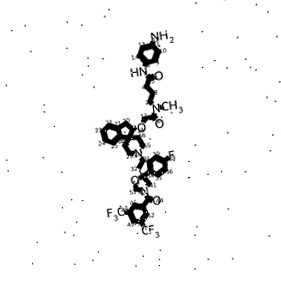 CN(CCCC(=O)Nc1ccc(N)cc1)C(=O)CO[C@H]1Cc2ccccc2C12CCN(CC[C@]1(c3ccc(F)cc3)CN(C(=O)c3cc(C(F)(F)F)cc(C(F)(F)F)c3)CO1)CC2